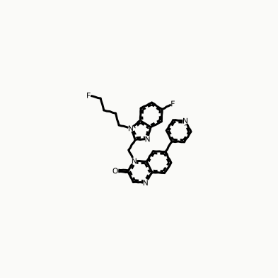 O=c1cnc2ccc(-c3ccncc3)cc2n1Cc1nc2cc(F)ccc2n1CCCCF